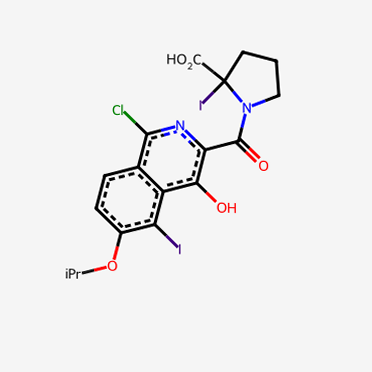 CC(C)Oc1ccc2c(Cl)nc(C(=O)N3CCCC3(I)C(=O)O)c(O)c2c1I